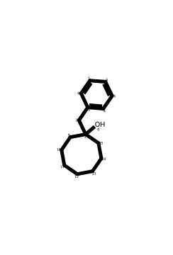 OC1(Cc2ccccc2)CCCCCCC1